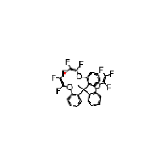 CC(c1ccccc1OC(F)=C(F)F)(c1ccccc1OC(F)=C(F)F)c1ccccc1OC(F)=C(F)F